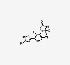 CC(C)C1C=C(c2ccc(O)c(N3CC(=O)NS3(=O)=O)c2F)CN1